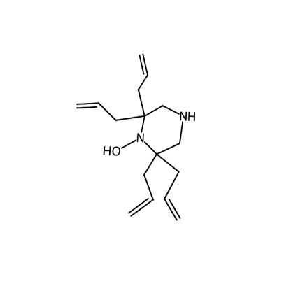 C=CCC1(CC=C)CNCC(CC=C)(CC=C)N1O